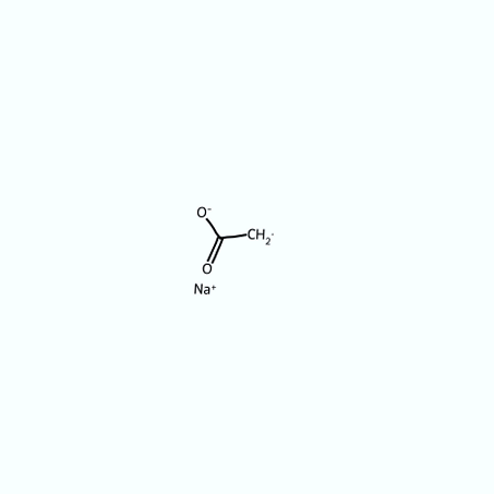 [CH2]C(=O)[O-].[Na+]